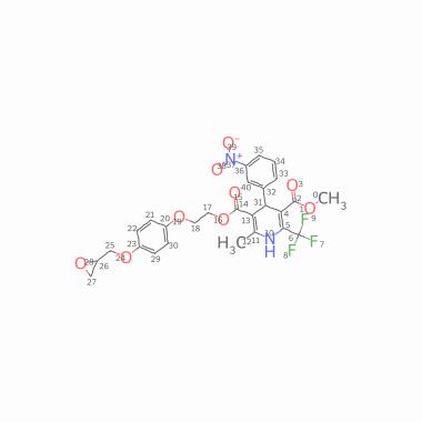 COC(=O)C1=C(C(F)(F)F)NC(C)=C(C(=O)OCCOc2ccc(OCC3CO3)cc2)C1c1cccc([N+](=O)[O-])c1